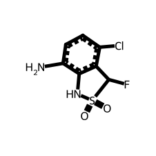 Nc1ccc(Cl)c2c1NS(=O)(=O)C2F